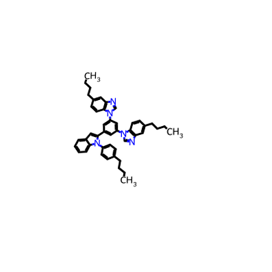 CCCCc1ccc(-n2c(-c3cc(-n4cnc5cc(CCCC)ccc54)cc(-n4cnc5cc(CCCC)ccc54)c3)cc3ccccc32)cc1